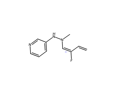 C=C/C(F)=C\N(C)Nc1cccnc1